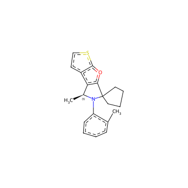 Cc1ccccc1N1[C@@H](C)c2c(oc3sccc23)C12CCCC2